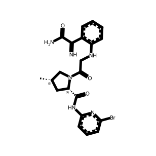 C[C@H]1C[C@@H](C(=O)Nc2cccc(Br)n2)N(C(=O)CNc2ccccc2C(=N)C(N)=O)C1